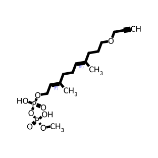 C#CCOCCC/C(C)=C/CC/C(C)=C/COP(=O)(O)OP(=O)(O)OC